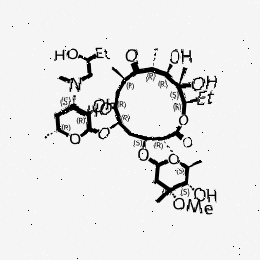 CCC(O)CN(C)[C@H]1C[C@@H](C)OC(O[C@@H]2C[C@H](OC3C[C@@](C)(OC)[C@@H](O)[C@H](C)O3)[C@@H](C)C(=O)O[C@H](CC)[C@@](C)(O)[C@H](O)[C@@H](C)C(=O)[C@H](C)C[C@H]2O)[C@@H]1O